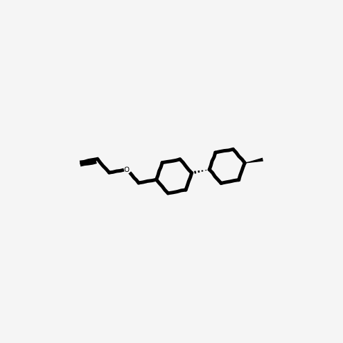 C=CCOCC1CCC([C@H]2CC[C@H](C)CC2)CC1